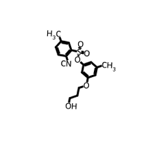 Cc1cc(OCCCO)cc(OS(=O)(=O)c2cc(C)ccc2C#N)c1